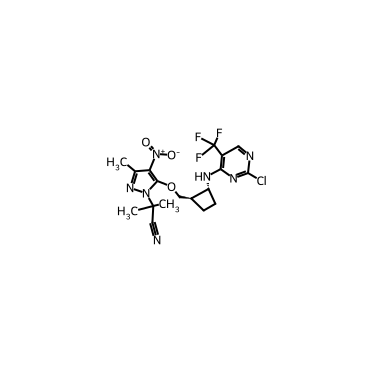 Cc1nn(C(C)(C)C#N)c(OC[C@@H]2CC[C@H]2Nc2nc(Cl)ncc2C(F)(F)F)c1[N+](=O)[O-]